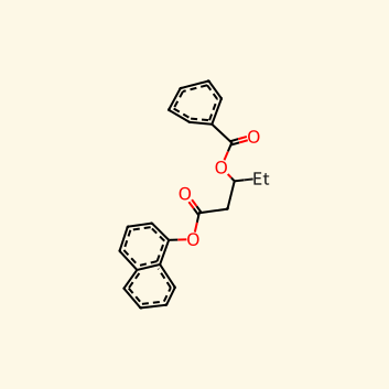 CCC(CC(=O)Oc1cccc2ccccc12)OC(=O)c1ccccc1